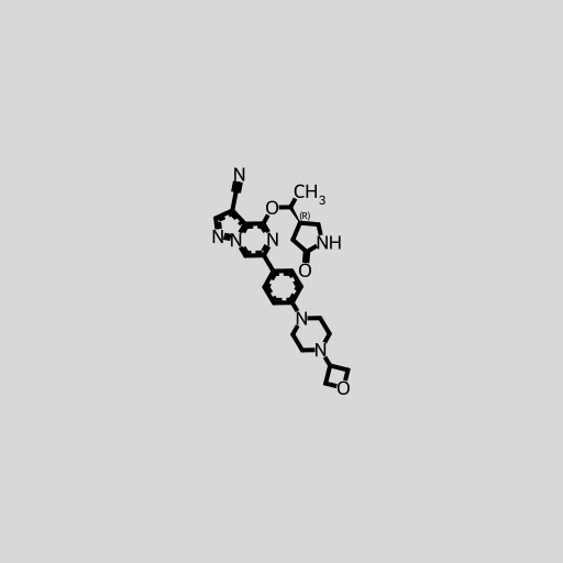 CC(Oc1nc(-c2ccc(N3CCN(C4COC4)CC3)cc2)cn2ncc(C#N)c12)[C@H]1CNC(=O)C1